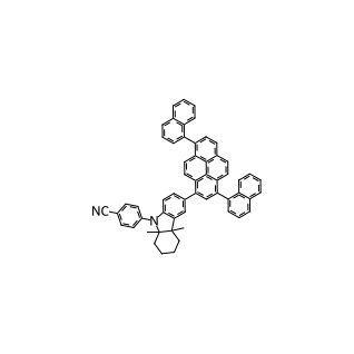 CC12CCCCC1(C)N(c1ccc(C#N)cc1)c1ccc(-c3cc(-c4cccc5ccccc45)c4ccc5ccc(-c6cccc7ccccc67)c6ccc3c4c56)cc12